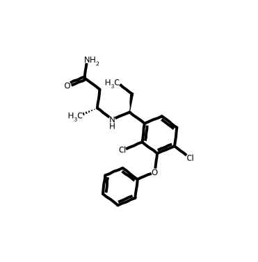 CC[C@H](N[C@H](C)CC(N)=O)c1ccc(Cl)c(Oc2ccccc2)c1Cl